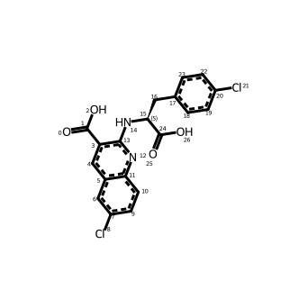 O=C(O)c1cc2cc(Cl)ccc2nc1N[C@@H](Cc1ccc(Cl)cc1)C(=O)O